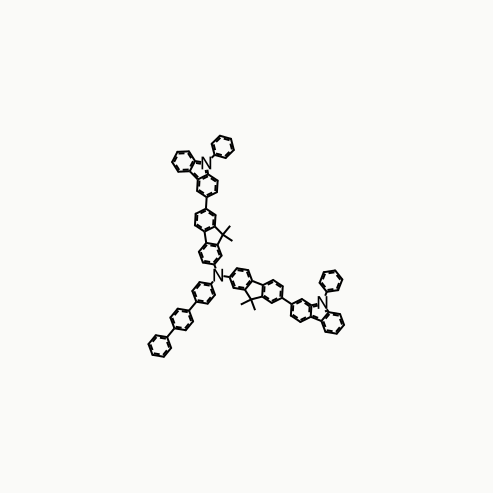 CC1(C)c2cc(-c3ccc4c(c3)c3ccccc3n4-c3ccccc3)ccc2-c2ccc(N(c3ccc(-c4ccc(-c5ccccc5)cc4)cc3)c3ccc4c(c3)C(C)(C)c3cc(-c5ccc6c7ccccc7n(-c7ccccc7)c6c5)ccc3-4)cc21